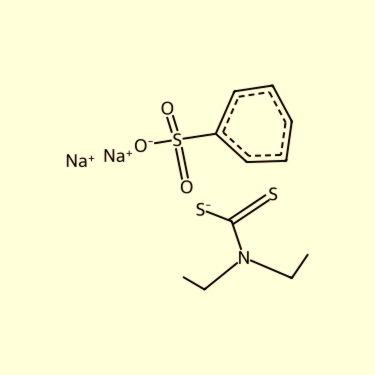 CCN(CC)C(=S)[S-].O=S(=O)([O-])c1ccccc1.[Na+].[Na+]